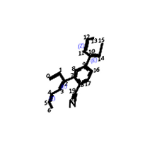 C=C/C(=C\C=C/C)c1cc(C(/C=C\C)=C/C)ccc1C#N